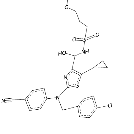 COCCCS(=O)(=O)NC(O)c1nc(N(Cc2ccc(Cl)cc2)c2ccc(C#N)cc2)sc1C1CC1